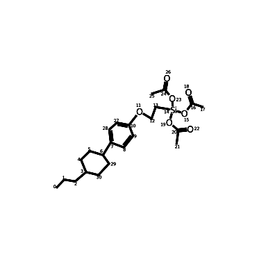 CCCC1CCC(c2ccc(OCC[Si](OC(C)=O)(OC(C)=O)OC(C)=O)cc2)CC1